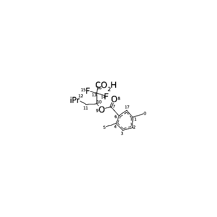 Cc1ccc(C)c(C(=O)OC(CC(C)C)C(F)(F)C(=O)O)c1